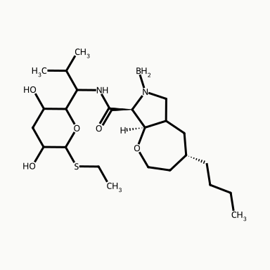 BN1CC2C[C@H](CCCC)CCO[C@H]2[C@H]1C(=O)NC(C(C)C)C1OC(SCC)C(O)CC1O